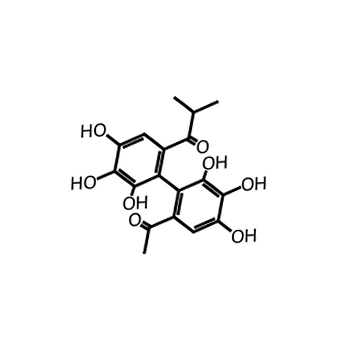 CC(=O)c1cc(O)c(O)c(O)c1-c1c(C(=O)C(C)C)cc(O)c(O)c1O